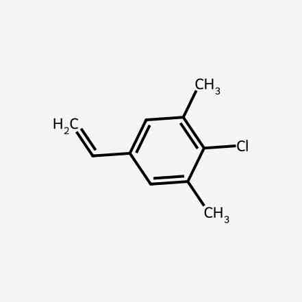 C=Cc1cc(C)c(Cl)c(C)c1